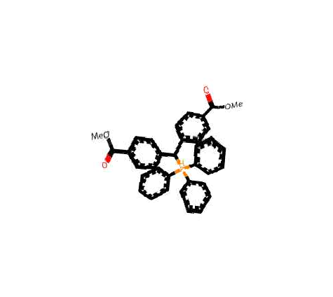 COC(=O)c1ccc(C(c2ccc(C(=O)OC)cc2)[PH](c2ccccc2)(c2ccccc2)c2ccccc2)cc1